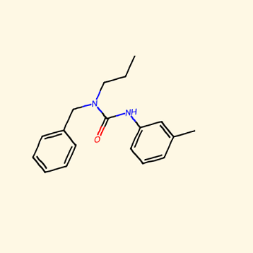 CCCN(Cc1ccccc1)C(=O)Nc1cccc(C)c1